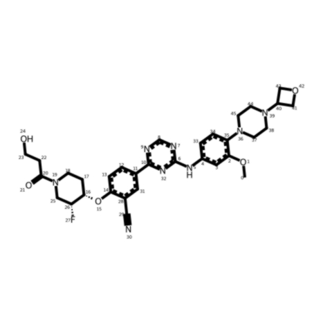 COc1cc(Nc2ncnc(-c3ccc(O[C@H]4CCN(C(=O)CCO)C[C@H]4F)c(C#N)c3)n2)ccc1N1CCN(C2COC2)CC1